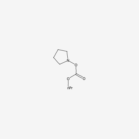 CCCOC(=O)ON1CCCC1